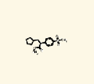 COC(=O)C(CC1CCCC1)c1ccc(S(C)(=O)=O)cc1